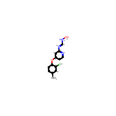 O=[N+]([O-])c1ccc(Oc2ccnc(/N=C/NO)c2)c(Cl)c1